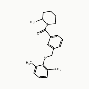 Cc1cccc(C)c1SCc1cccc(C(=O)N2CCCCC2C)n1